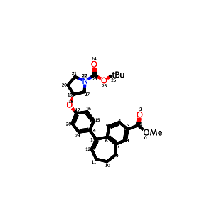 COC(=O)c1ccc2c(c1)CCCC=C2c1ccc(O[C@H]2CCN(C(=O)OC(C)(C)C)C2)cc1